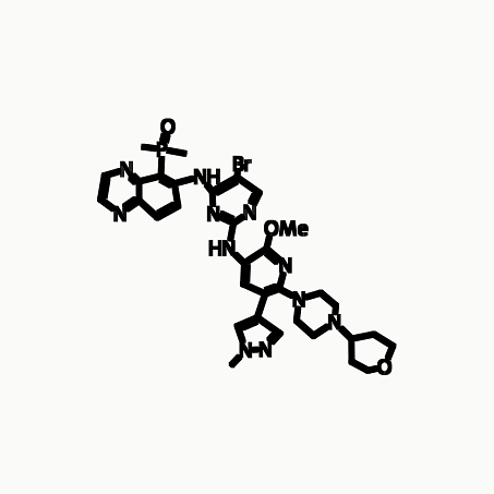 COc1nc(N2CCN(C3CCOCC3)CC2)c(-c2cnn(C)c2)cc1Nc1ncc(Br)c(Nc2ccc3nccnc3c2P(C)(C)=O)n1